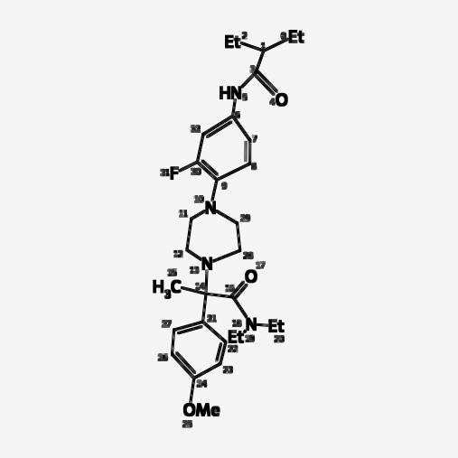 CCC(CC)C(=O)Nc1ccc(N2CCN(C(C)(C(=O)N(CC)CC)c3ccc(OC)cc3)CC2)c(F)c1